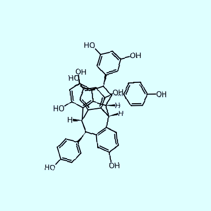 Oc1ccc([C@@H]2c3cc(O)ccc3[C@@H]3c4c(O)cc(O)cc4[C@H]2c2c(O)cc(O)c4c2[C@@H]3[C@@H](c2ccc(O)cc2)[C@@H]4c2cc(O)cc(O)c2)cc1